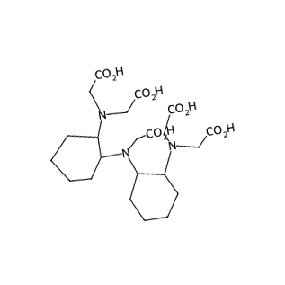 O=C(O)CN(CC(=O)O)C1CCCCC1N(CC(=O)O)C1CCCCC1N(CC(=O)O)CC(=O)O